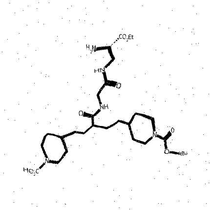 CCOC(=O)[C@@H](N)CNC(=O)CNC(=O)C(CCC1CCN(C(=O)O)CC1)CCC1CCN(C(=O)OC(C)(C)C)CC1